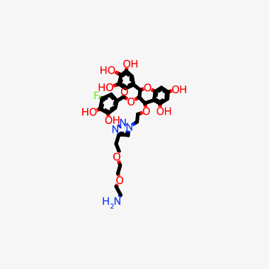 NCCOCCOCCc1cn(CCOC2c3c(O)cc(O)cc3OC(c3cc(O)c(O)c(O)c3)C2OC(=O)c2cc(O)c(O)c(F)c2)nn1